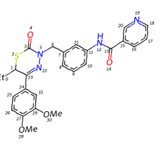 CCC1SC(=O)N(Cc2cccc(NC(=O)c3cccnc3)c2)N=C1c1ccc(OC)c(OC)c1